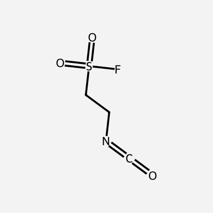 O=C=NCCS(=O)(=O)F